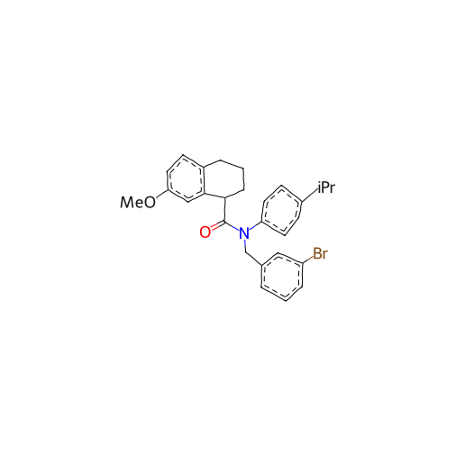 COc1ccc2c(c1)C(C(=O)N(Cc1cccc(Br)c1)c1ccc(C(C)C)cc1)CCC2